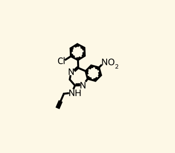 C#CCNC1=Nc2ccc([N+](=O)[O-])cc2C(c2ccccc2Cl)=NC1